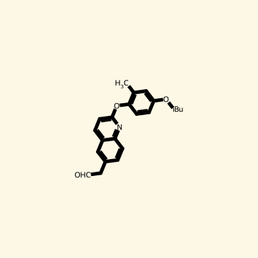 CCC(C)Oc1ccc(Oc2ccc3cc(CC=O)ccc3n2)c(C)c1